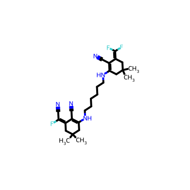 CC1(C)CC(NCCCCCCNC2=C(C#N)/C(=C(/F)C#N)CC(C)(C)C2)=C(C#N)C(=C(F)F)C1